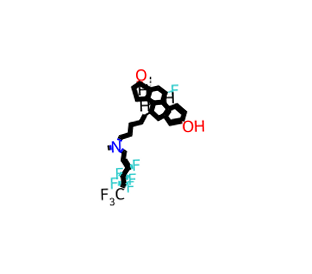 CN(CC=C(F)C(F)(F)C(F)(F)C(F)(F)F)CCCCC[C@@H]1Cc2cc(O)ccc2[C@@H]2[C@@H]1[C@@H]1CCC(=O)[C@@]1(C)C[C@@H]2F